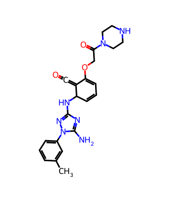 Cc1cccc(-n2nc(NC3C=CC=C(OCC(=O)N4CCNCC4)C3=C=O)nc2N)c1